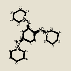 C1CCN(N=C2CCC(=NN3CCCCC3)C(=NN3CCCCC3)C2)CC1